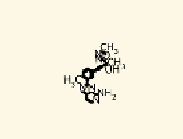 Cc1nnc(C(C)(O)C#Cc2ccc(C)c(-c3ncc4ccnc(N)c4n3)c2)o1